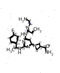 C=C/C(=N\C=C/N)Nc1cc(N2CC(C(N)=O)C2)nc(N[C@@H](C)c2ccc(F)cc2)n1